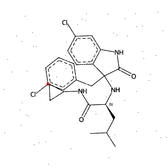 CC(C)C[C@H](NC1(Cc2cccc(Cl)c2)C(=O)Nc2cc(Cl)ccc21)C(=O)NC1CC1